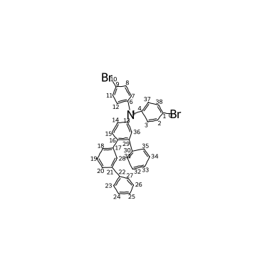 Brc1ccc(N(c2ccc(Br)cc2)c2ccc(-c3cccc(-c4ccccc4)c3)c(-c3ccccc3)c2)cc1